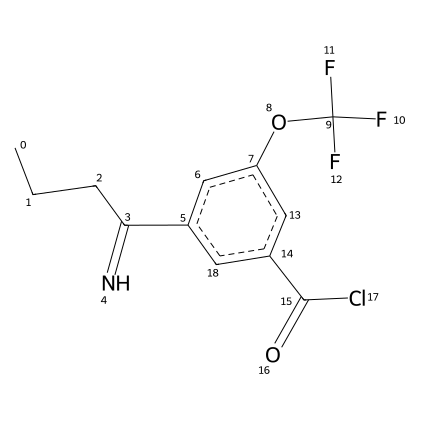 CCCC(=N)c1cc(OC(F)(F)F)cc(C(=O)Cl)c1